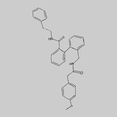 COc1ccc(CC(=O)NCc2ccccc2-c2ccccc2C(=O)NCCc2ccccc2)cc1